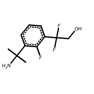 CC(C)(N)c1cccc(C(F)(F)CO)c1F